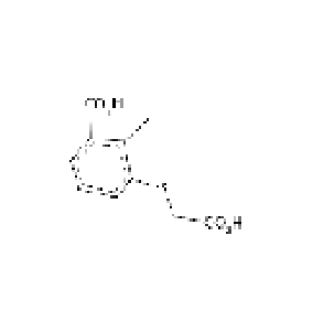 Cc1c(SCC(=O)O)cccc1C(=O)O